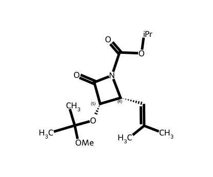 COC(C)(C)O[C@@H]1C(=O)N(C(=O)OC(C)C)[C@@H]1C=C(C)C